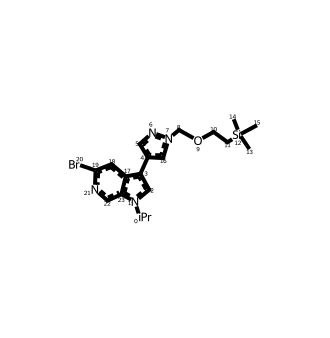 CC(C)n1cc(-c2cnn(COCC[Si](C)(C)C)c2)c2cc(Br)ncc21